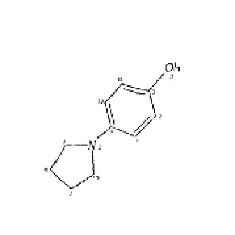 Oc1ccc(N2[CH]CCC2)cc1